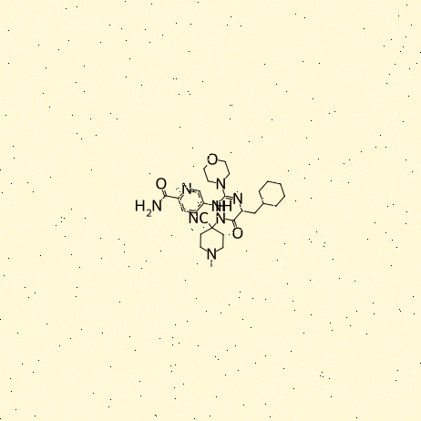 CN1CCC(C#N)(NC(=O)C(CC2CCCCC2)/N=C(\Nc2ccc(C(N)=O)nc2)N2CCOCC2)CC1